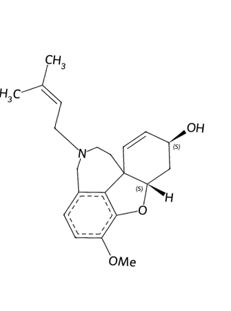 COc1ccc2c3c1O[C@H]1C[C@H](O)C=CC31CCN(CC=C(C)C)C2